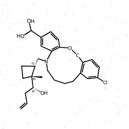 C=CC[C@@H](O)[C@]1(C)CC[C@@H]1CN1CCCCc2cc(Cl)ccc2COc2ccc(C(O)O)cc21